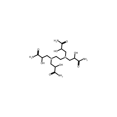 NC(=O)C(O)CN(CCN(CC(O)C(N)=O)CC(O)C(N)=O)CC(O)C(N)=O